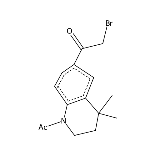 CC(=O)N1CCC(C)(C)c2cc(C(=O)CBr)ccc21